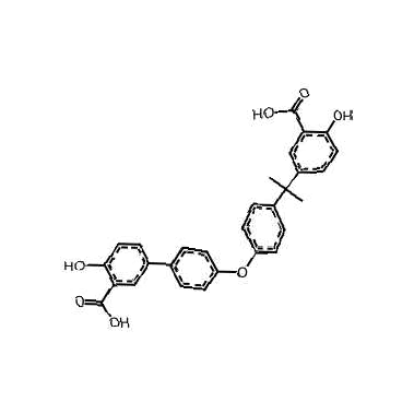 CC(C)(c1ccc(Oc2ccc(-c3ccc(O)c(C(=O)O)c3)cc2)cc1)c1ccc(O)c(C(=O)O)c1